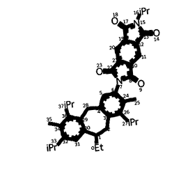 CCC1Cc2c(cc(-n3c(=O)c4cc5c(=O)n(C(C)C)c(=O)c5cc4c3=O)c(C)c2C(C)C)Cc2c1cc(C(C)C)c(C)c2C(C)C